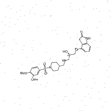 COc1ccc(S(=O)(=O)N2CCC(CNC[C@@H](O)COc3cccc4c3CC(=O)N4)CC2)cc1OC